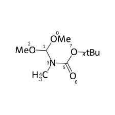 COC(OC)N(C)C(=O)OC(C)(C)C